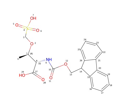 C[C@@H](OCS(=O)(=O)O)[C@H](NC(=O)OCC1c2ccccc2-c2ccccc21)C(=O)O